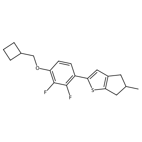 CC1Cc2cc(-c3ccc(OCC4CCC4)c(F)c3F)sc2C1